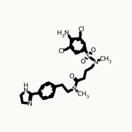 CN(CCc1ccc(C2=NCCN2)cc1)C(=O)CCCN(C)S(=O)(=O)c1cc(Cl)c(N)c(Cl)c1